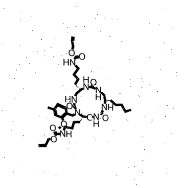 C=CCOC(=O)NCCCC[C@H]1CNC(=O)N(Cc2ccc(C)cc2OC)[C@@H](CCCCNC(=O)OCC=C)CNC(=O)N[C@@H](CCCCC)CNC(=O)N1